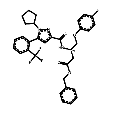 O=C(C[C@H](COc1ccc(F)cc1)NC(=O)c1cc(-c2ccccc2C(F)(F)F)n(C2CCCC2)n1)OCc1ccccc1